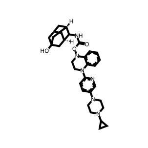 O=C(NC1[C@@H]2CC3C[C@H]1CC(O)(C3)C2)ON1CCN(c2ccc(N3CCN(C4CC4)CC3)cn2)c2ccccc21